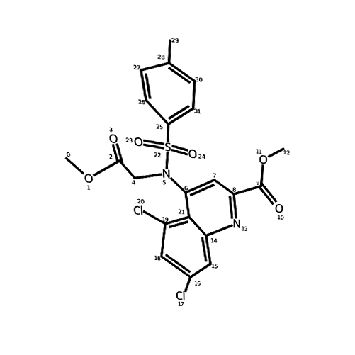 COC(=O)CN(c1cc(C(=O)OC)nc2cc(Cl)cc(Cl)c12)S(=O)(=O)c1ccc(C)cc1